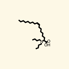 CCCCCCCC/C=C\CCCCCCC(C(=O)O)N(CCCC)CCCC